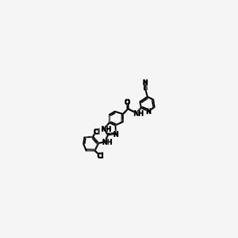 N#Cc1ccnc(NC(=O)c2ccc3[nH]c(Nc4c(Cl)cccc4Cl)nc3c2)c1